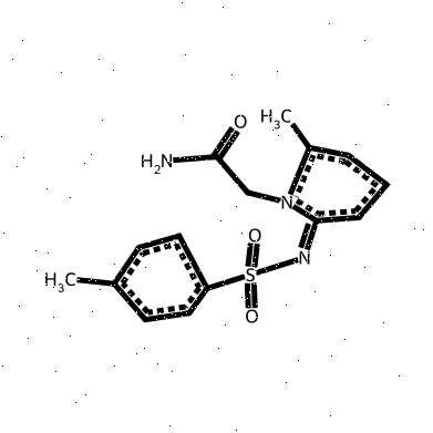 Cc1ccc(S(=O)(=O)N=c2cccc(C)n2CC(N)=O)cc1